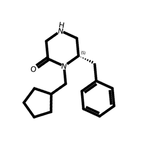 O=C1CNC[C@H](Cc2ccccc2)N1CC1CCCC1